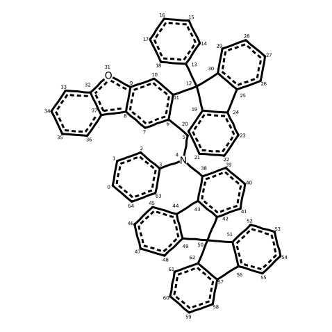 c1ccc(N(Cc2cc3c(cc2C2(c4ccccc4)c4ccccc4-c4ccccc42)oc2ccccc23)c2cccc3c2-c2ccccc2C32c3ccccc3-c3ccccc32)cc1